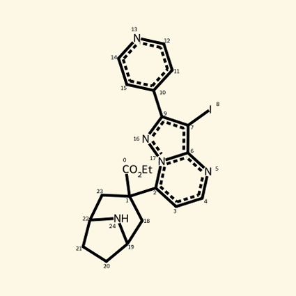 CCOC(=O)C1(c2ccnc3c(I)c(-c4ccncc4)nn23)CC2CCC(C1)N2